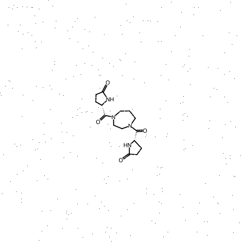 O=C1CC[C@@H](C(=O)N2CCCN(C(=O)[C@@H]3CCC(=O)N3)CC2)N1